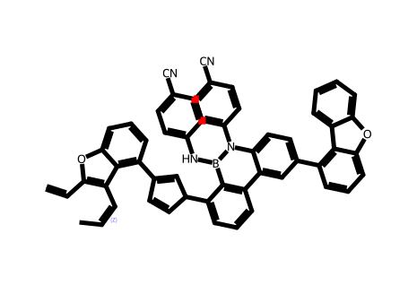 C=Cc1oc2cccc(C3=CC(c4cccc5c4B(Nc4ccc(C#N)cc4)N(c4ccc(C#N)cc4)c4ccc(-c6cccc7oc8ccccc8c67)cc4-5)C=C3)c2c1/C=C\C